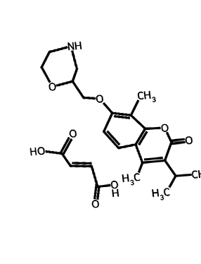 Cc1c(C(C)C)c(=O)oc2c(C)c(OCC3CNCCO3)ccc12.O=C(O)C=CC(=O)O